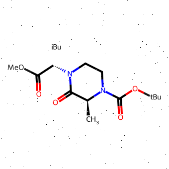 CC[C@H](C)[C@@H](C(=O)OC)N1CCN(C(=O)OC(C)(C)C)[C@@H](C)C1=O